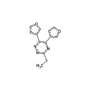 CSc1nnc(-c2ccoc2)c(-c2ccoc2)n1